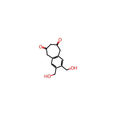 O=C1CC(=O)Cc2cc(CO)c(CO)cc2C1